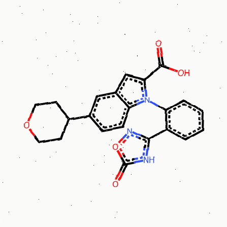 O=C(O)c1cc2cc(C3CCOCC3)ccc2n1-c1ccccc1-c1noc(=O)[nH]1